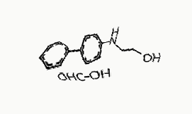 O=CO.OCCNc1ccc(-c2ccccc2)cc1